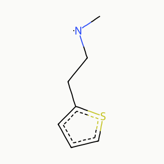 C[N]CCc1cccs1